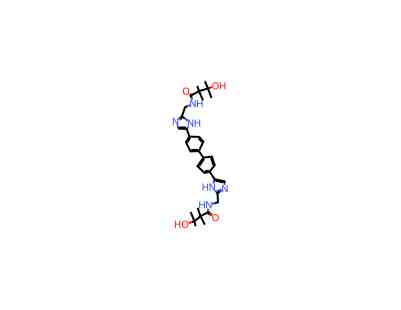 CC(C)(O)C(C)(C)C(=O)NCc1ncc(-c2ccc(-c3ccc(-c4cnc(CNC(=O)C(C)(C)C(C)(C)O)[nH]4)cc3)cc2)[nH]1